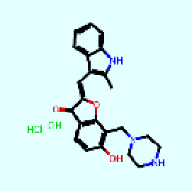 Cc1[nH]c2ccccc2c1C=C1Oc2c(ccc(O)c2CN2CCNCC2)C1=O.Cl.Cl